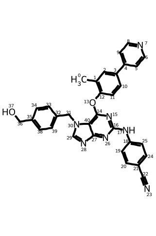 Cc1cc(-c2ccncc2)ccc1Oc1nc(Nc2ccc(C#N)cc2)nc2ncn(Cc3ccc(CO)cc3)c12